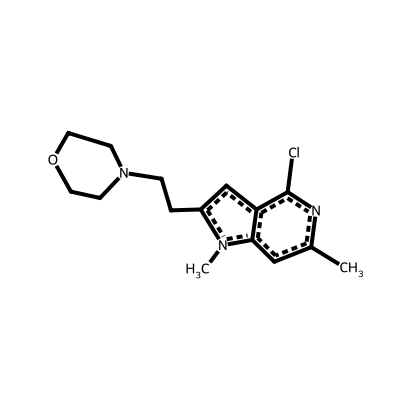 Cc1cc2c(cc(CCN3CCOCC3)n2C)c(Cl)n1